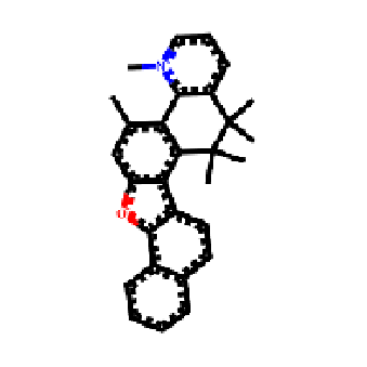 Cc1cc2oc3c4ccccc4ccc3c2c2c1-c1c(ccc[n+]1C)C(C)(C)C2(C)C